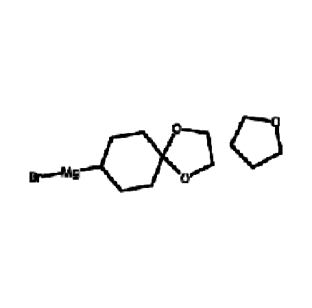 C1CCOC1.[Br][Mg][CH]1CCC2(CC1)OCCO2